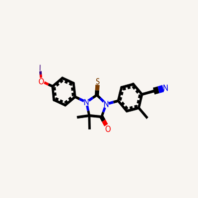 Cc1cc(N2C(=O)C(C)(C)N(c3ccc(OI)cc3)C2=S)ccc1C#N